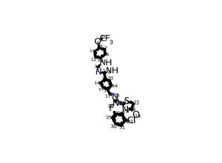 N=C(/N=C\Nc1ccc(OC(F)(F)F)cc1)c1ccc(/C=N/N=C2\SCC(=O)N2c2c(F)cccc2Cl)cc1